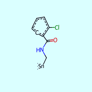 O=C(N[CH2][Sn])c1ccccc1Cl